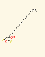 CCCCCCCCCCCCCCC1(O)CC(=S)OC1=S